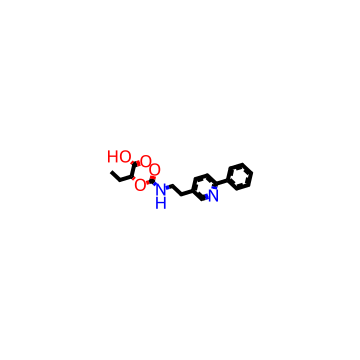 CCC(OC(=O)NCCc1ccc(-c2ccccc2)nc1)C(=O)O